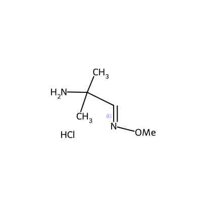 CO/N=C/C(C)(C)N.Cl